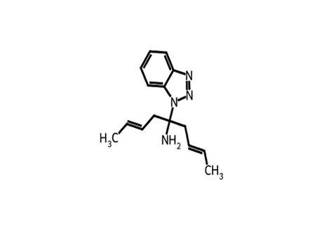 CC=CCC(N)(CC=CC)n1nnc2ccccc21